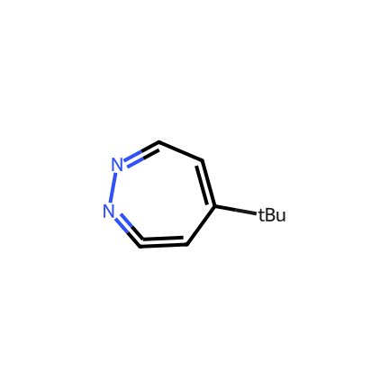 CC(C)(C)C1=CC=NN=C=C1